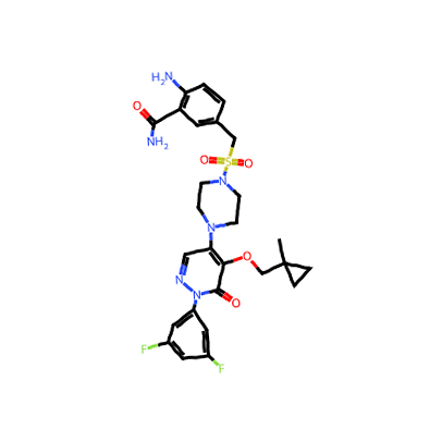 CC1(COc2c(N3CCN(S(=O)(=O)Cc4ccc(N)c(C(N)=O)c4)CC3)cnn(-c3cc(F)cc(F)c3)c2=O)CC1